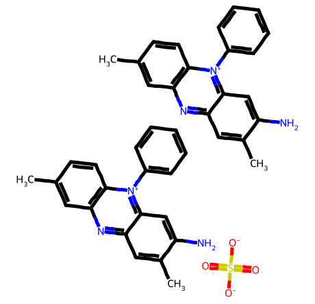 Cc1ccc2c(c1)nc1cc(C)c(N)cc1[n+]2-c1ccccc1.Cc1ccc2c(c1)nc1cc(C)c(N)cc1[n+]2-c1ccccc1.O=S(=O)([O-])[O-]